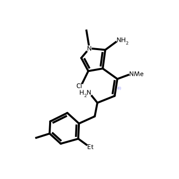 CCc1cc(C)ccc1CC(N)/C=C(/NC)c1c(Cl)cn(C)c1N